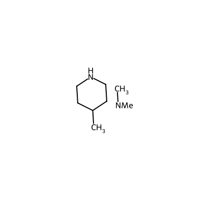 CC1CCNCC1.CNC